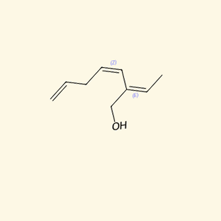 C=CC/C=C\C(=C/C)CO